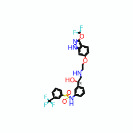 O=S(=O)(Nc1cccc([C@@H](O)CNCCOc2ccc3c(OC(F)F)n[nH]c3c2)c1)c1cccc(C(F)(F)F)c1